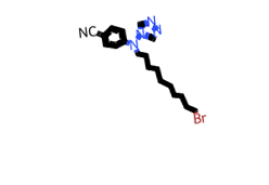 N#Cc1ccc(N(CCCCCCCCCCBr)n2cnnc2)cc1